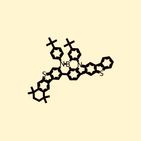 CC(C)(C)c1ccc(N2B3c4cc(C(C)(C)C)ccc4-n4c5cc6c(cc5c5ccc(c3c54)-c3cc4c(cc32)sc2cc3c(cc24)C(C)(C)CCC3(C)C)sc2ccccc26)cc1